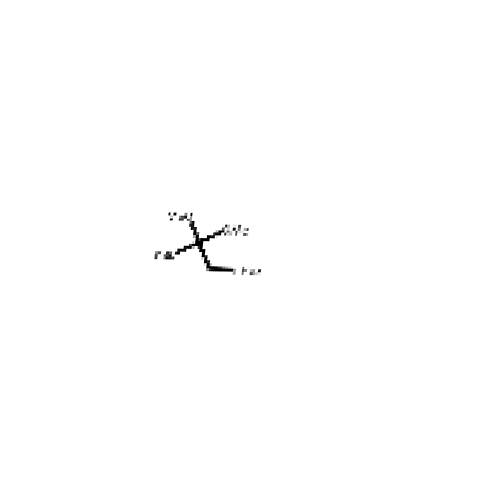 CCCCCCCC(CCCC)(OC)OC